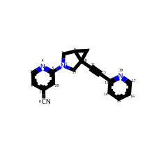 N#Cc1ccnc(N2CC3CC3(C#Cc3ccccn3)C2)c1